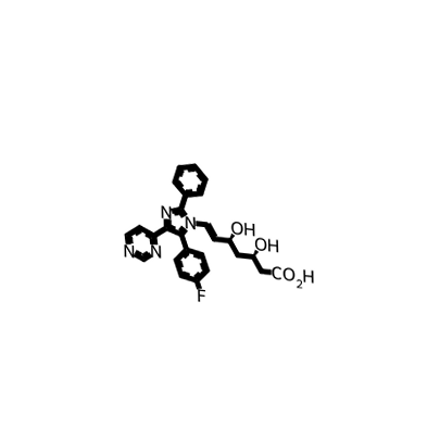 O=C(O)C[C@H](O)C[C@H](O)/C=C/n1c(-c2ccccc2)nc(-c2ccncn2)c1-c1ccc(F)cc1